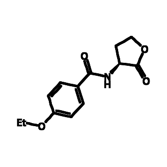 CCOc1ccc(C(=O)N[C@H]2CCOC2=O)cc1